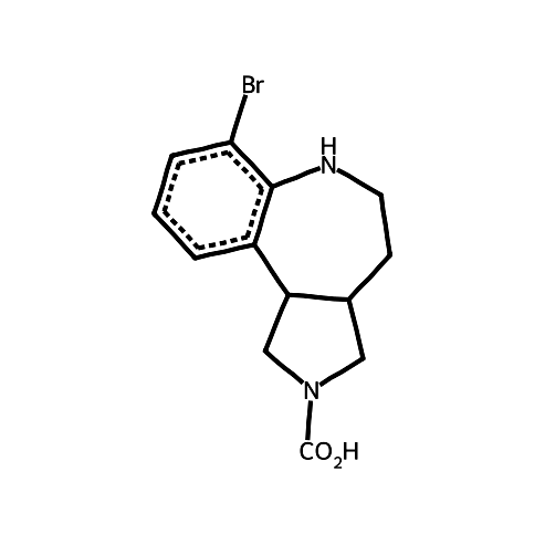 O=C(O)N1CC2CCNc3c(Br)cccc3C2C1